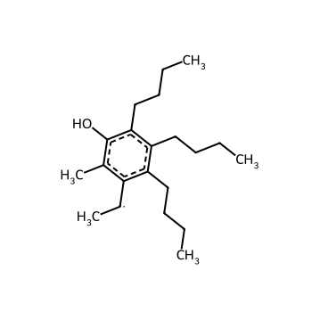 C[CH]c1c(C)c(O)c(CCCC)c(CCCC)c1CCCC